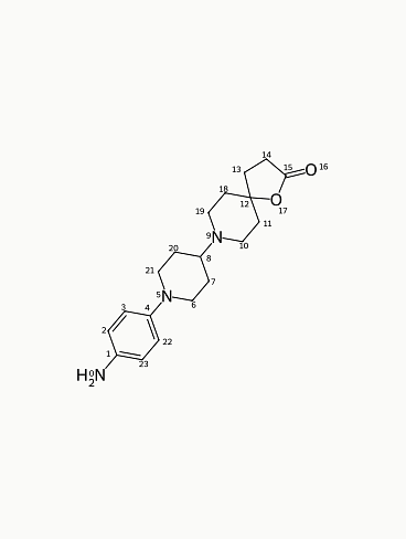 Nc1ccc(N2CCC(N3CCC4(CCC(=O)O4)CC3)CC2)cc1